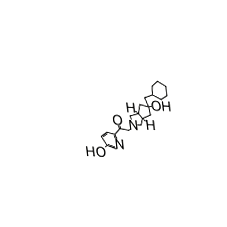 O=C(CN1C[C@@H]2CC(O)(CC3CCCCC3)C[C@@H]2C1)c1ccc(O)cn1